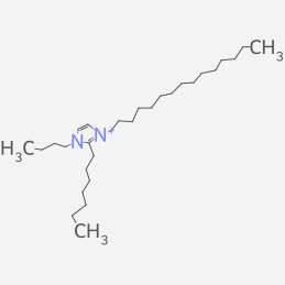 CCCCCCCCCCCCCCC[n+]1ccn(CCCC)c1CCCCCCC